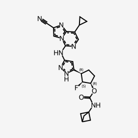 N#Cc1cn2c(Nc3cc([C@H]4CC[C@@H](OC(=O)NC56CC(C5)C6)[C@H]4F)[nH]n3)ncc(C3CC3)c2n1